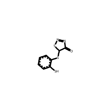 O=C1N=NSC1Sc1ccccc1S